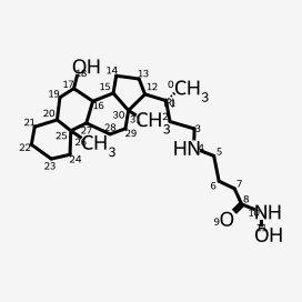 C[C@H](CCNCCCC(=O)NO)C1CCC2C3C(O)CC4CCCCC4(C)C3CCC21C